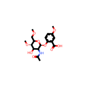 COCC1O[C@@H](Oc2ccc(OC)cc2C(=O)O)C(NC(C)=O)C(O)[C@@H]1OC